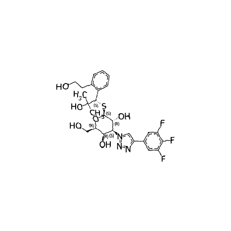 CC(C)(O)[C@@H](S[C@@H]1O[C@H](CO)[C@H](O)[C@H](n2cc(-c3cc(F)c(F)c(F)c3)nn2)[C@H]1O)c1ccccc1CCO